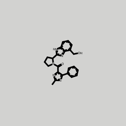 Cc1nc(C(=O)N2CCCC2c2nc3c(CO)cccc3[nH]2)c(-c2ccccc2)s1